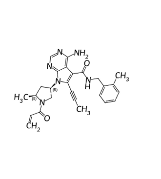 C=CC(=O)N1C[C@H](n2c(C#CC)c(C(=O)NCc3ccccc3C)c3c(N)ncnc32)C[C@@H]1C